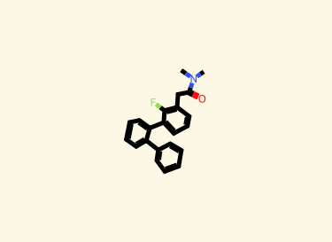 CN(C)C(=O)Cc1cccc(-c2ccccc2-c2ccccc2)c1F